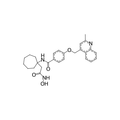 Cc1cc(COc2ccc(C(=O)NC3(CC(=O)NO)CCCCCC3)cc2)c2ccccc2n1